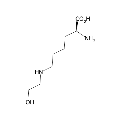 N[C@@H](CCCCNCCO)C(=O)O